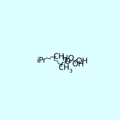 CC(=CCOC[C@H](O)[C@H](O)CO)CCCC(C)CCCC(C)C